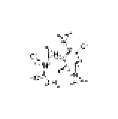 CC(O)N=C=O.O=C1C=C(N2CC2)C(=O)C(N2CC2)=C1N1CC1